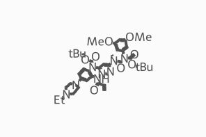 C=CC(=O)Nc1cc(N2CCN(CC)CC2)ccc1N(C(=O)OC(C)(C)C)c1cc(N(C)C(=O)N(C(=O)OC(C)(C)C)c2cc(OC)cc(OC)c2)ncn1